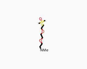 CNCCOCCOCC[SH](C)(C)=O